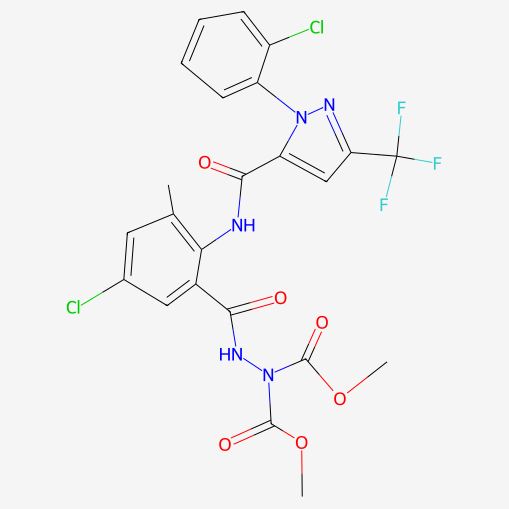 COC(=O)N(NC(=O)c1cc(Cl)cc(C)c1NC(=O)c1cc(C(F)(F)F)nn1-c1ccccc1Cl)C(=O)OC